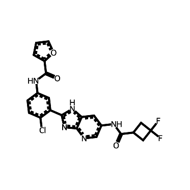 O=C(Nc1ccc(Cl)c(-c2nc3ncc(NC(=O)C4CC(F)(F)C4)cc3[nH]2)c1)c1ccco1